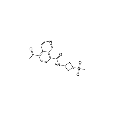 CC(=O)c1ccc(C(=O)NC2CN(S(C)(=O)=O)C2)c2cnccc12